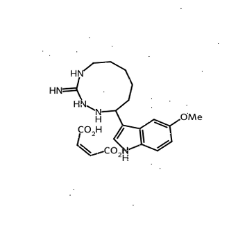 COc1ccc2[nH]cc(C3CCCCCNC(=N)NN3)c2c1.O=C(O)/C=C\C(=O)O